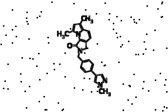 Cc1cc(C)n2c3c(ccc12)CN(Cc1ccc(-c2cnn(C)c2)cc1)C3=O